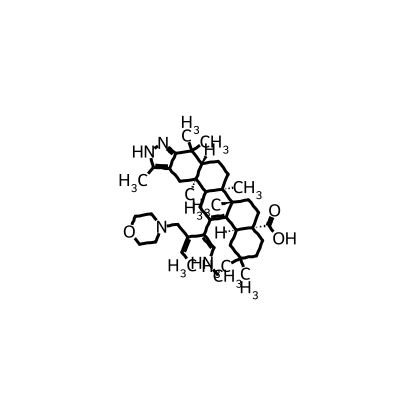 C/C=C(CN1CCOCC1)\C(=C/NC)C1=C2[C@@H]3CC(C)(C)CC[C@]3(C(=O)O)CC[C@@]2(C)[C@]2(C)CC[C@H]3C(C)(C)c4n[nH]c(C)c4C[C@]3(C)C2C1